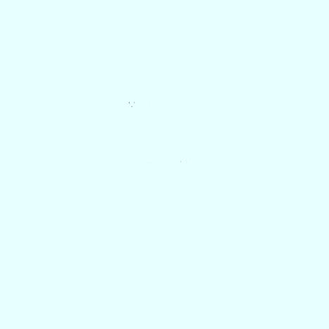 COc1cc(F)c(Oc2cccc(C(F)(F)F)c2)c(F)c1